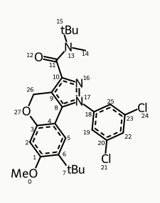 COc1cc2c(cc1C(C)(C)C)-c1c(c(C(=O)N(C)C(C)(C)C)nn1-c1cc(Cl)cc(Cl)c1)CO2